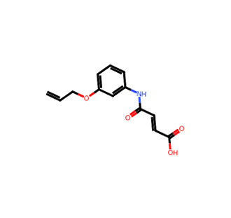 C=CCOc1cccc(NC(=O)C=CC(=O)O)c1